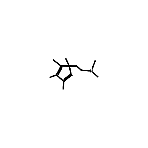 CC1=[C]C(C)(CCN(C)C)C(C)=C1C